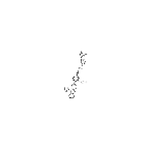 NC(=O)Cn1cc(OCC#Cc2cnc(N3CCC4(CC3)Cc3ccccc3[C@H]4N)c(CO)n2)cn1